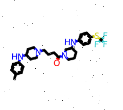 Cc1ccc(NC2CCN(CCCC(=O)N3CCC[C@H](Nc4ccc(SC(F)(F)F)cc4)C3)CC2)cc1